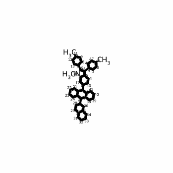 Cc1ccc(-c2c(-c3ccc(C)cc3)n(C)c3cc(-c4c5ccccc5c(-c5ccc6ccccc6c5)c5ccccc45)ccc23)cc1